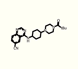 CC(C)(C)C(=O)N1CCN(C2CCC(Nc3ncnc4ccc(C#N)cc34)CC2)CC1